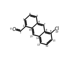 O=Cc1cccc2cc3c(Cl)cccc3cc12